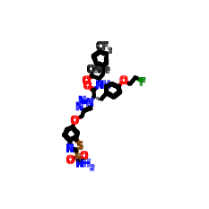 COC(=O)C(Cc1ccc(C(F)(F)F)cc1)NC(=O)[C@H](Cc1ccc(OCCF)cc1)n1cc(COc2ccc3nc(S(N)(=O)=O)sc3c2)nn1